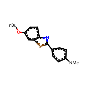 CCCCOc1ccc2nc(-c3ccc(NC)cc3)sc2c1